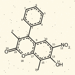 Cc1c(-c2ccccc2)c2cc([N+](=O)[O-])c(O)c(C)c2oc1=O